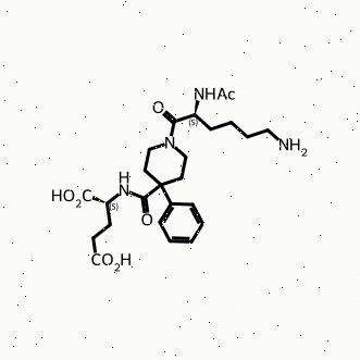 CC(=O)N[C@@H](CCCCN)C(=O)N1CCC(C(=O)N[C@@H](CCC(=O)O)C(=O)O)(c2ccccc2)CC1